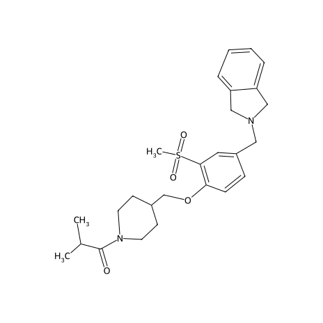 CC(C)C(=O)N1CCC(COc2ccc(CN3Cc4ccccc4C3)cc2S(C)(=O)=O)CC1